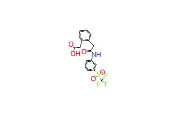 O=C(O)Cc1ccccc1CC(=O)Nc1cccc(S(=O)(=O)C(F)(F)F)c1